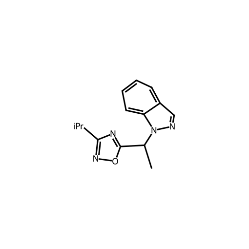 CC(C)c1noc(C(C)n2ncc3ccccc32)n1